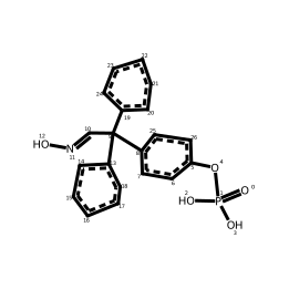 O=P(O)(O)Oc1ccc(C(C=NO)(c2ccccc2)c2ccccc2)cc1